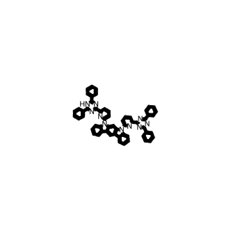 c1ccc(C2=NC(c3cccc(-n4c5ccccc5c5cc6c7ccccc7n(-c7cccc(-c8nc(-c9ccccc9)nc(-c9ccccc9)n8)n7)c6cc54)n3)=NC(c3ccccc3)N2)cc1